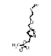 CC(C)SCCOCn1cc(COS(C)(=O)=O)nn1